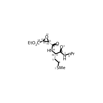 CCCNC(=O)[C@H](CCSC)NC(=O)[C@H]1O[C@@H]1C(=O)OCC